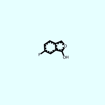 Oc1occ2ccc(F)cc12